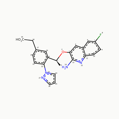 C[C@H](Oc1cc2cc(F)ccc2nc1N)c1cc(CC(=O)O)ccc1-n1cccn1